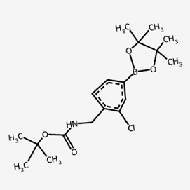 CC(C)(C)OC(=O)NCc1ccc(B2OC(C)(C)C(C)(C)O2)cc1Cl